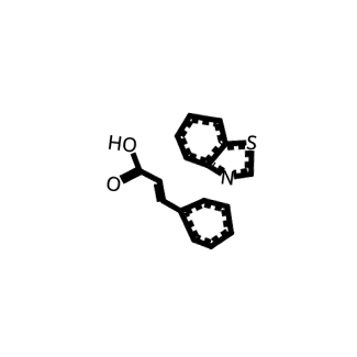 O=C(O)C=Cc1ccccc1.c1ccc2scnc2c1